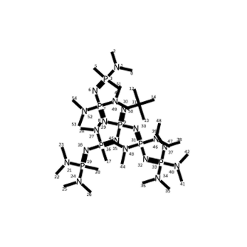 CN(C)P(C)(C)=NP(=NP(=NC(C)(C)C)(N=P(C)(N=P(C)(N(C)C)N(C)C)N(C)C)N=P(N=P(N(C)C)(N(C)C)N(C)C)(N(C)C)N(C)C)(N(C)C)N(C)C